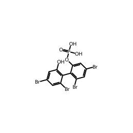 O=P(O)(O)Oc1cc(Br)cc(Br)c1-c1c(O)cc(Br)cc1Br